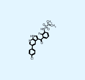 CN(C)S(=O)(=O)Nc1cccc(C(=O)c2c[nH]c3ncc(-c4ccc(Cl)cc4)cc23)c1F